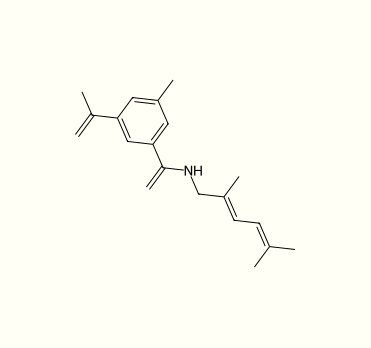 C=C(C)c1cc(C)cc(C(=C)NC/C(C)=C/C=C(C)C)c1